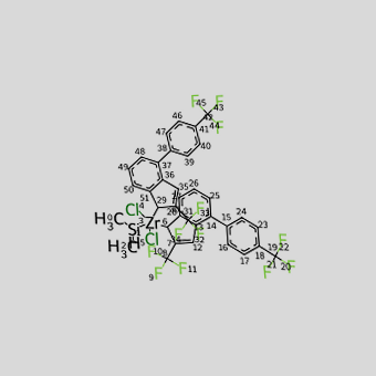 C[SiH](C)[Zr]([Cl])([Cl])([CH]1C(C(F)(F)F)=Cc2c(-c3ccc(C(F)(F)F)cc3)cccc21)[CH]1C(C(F)(F)F)=Cc2c(-c3ccc(C(F)(F)F)cc3)cccc21